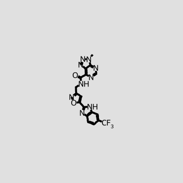 Cn1nnc2c(C(=O)NCc3cc(-c4nc5ccc(C(F)(F)F)cc5[nH]4)on3)ncnc21